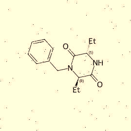 CC[C@@H]1NC(=O)[C@@H](CC)N(Cc2ccccc2)C1=O